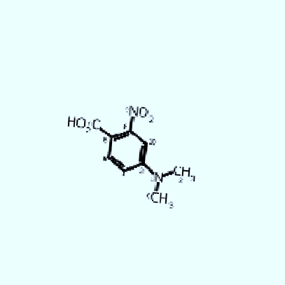 CN(C)c1ccc(C(=O)O)c([N+](=O)[O-])c1